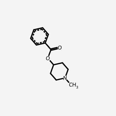 CN1CCC(OC(=O)c2ccccc2)CC1